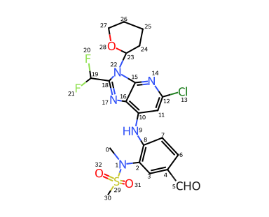 CN(c1cc(C=O)ccc1Nc1cc(Cl)nc2c1nc(C(F)F)n2C1CCCCO1)S(C)(=O)=O